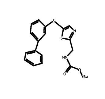 CC(C)(C)OC(=O)NCc1ncc(Sc2cccc(-c3ccccc3)c2)s1